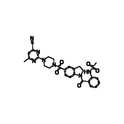 Cc1cc(C#N)nc(N2CCN(S(=O)(=O)c3ccc4c(c3)CCN4C(=O)c3ccccc3NS(C)(=O)=O)CC2)n1